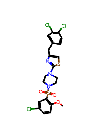 COc1ccc(Cl)cc1S(=O)(=O)N1CCN(c2nc(Cc3ccc(Cl)c(Cl)c3)cs2)CC1